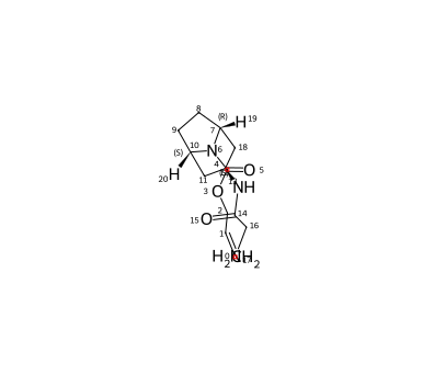 C=CCOC(=O)N1[C@@H]2CC[C@H]1C[C@H](NC(=O)CN)C2